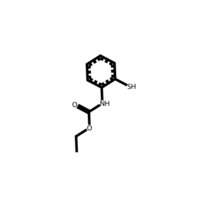 CCOC(=O)Nc1ccccc1S